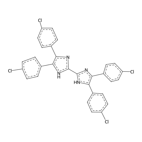 Clc1ccc(-c2nc(-c3nc(-c4ccc(Cl)cc4)c(-c4ccc(Cl)cc4)[nH]3)[nH]c2-c2ccc(Cl)cc2)cc1